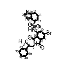 CC(CN1C(=O)c2cc(Br)cc(NS(=O)(=O)c3cccc4nsnc34)c2C1=O)c1ccccc1